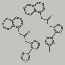 Cc1csc(-c2sccc2NC(=O)Cc2cccc3cnccc23)n1.O=C(Cc1cccc2cnccc12)Nc1ccsc1-c1cscn1